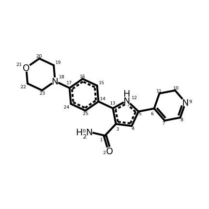 NC(=O)c1cc(C2=CC=NCC2)[nH]c1-c1ccc(N2CCOCC2)cc1